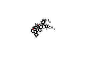 Cc1ccc(N(c2ccc3c4c(ccc3c2)-c2c(c3ccccc3c3ccccc23)C42c3ccccc3-c3ccccc32)c2cc(C)ccc2C)cc1